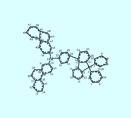 c1ccc(C2(c3ccccc3)c3ccccc3-c3c(-c4ccc(N(c5ccc6c(ccc7ccccc76)c5)c5ccc6c(ccc7ccccc76)c5)cc4)cccc32)cc1